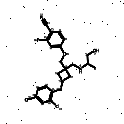 CC(CO)NCC1(COc2ccc(C#N)c(F)c2)CN(Sc2ccc(Cl)cc2Cl)C1